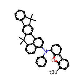 CC(C)(C)c1cccc2c1oc1c(N(c3ccccc3)c3ccc4c5c(cccc35)C(C)(C)c3cc5c(cc3-4)C(C)(C)c3ccccc3-5)cccc12